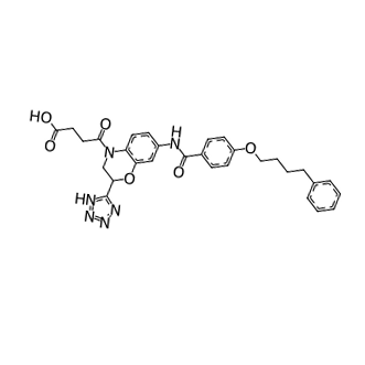 O=C(O)CCC(=O)N1CC(c2nnn[nH]2)Oc2cc(NC(=O)c3ccc(OCCCCc4ccccc4)cc3)ccc21